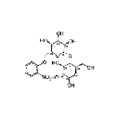 O=[N+]([O-])c1ccccc1OC[C@H]1O[C@@H](O[C@H]2[C@H](O)[C@@H](O)[C@H](O)O[C@@H]2CO)[C@H](O)[C@@H](O)[C@@H]1O